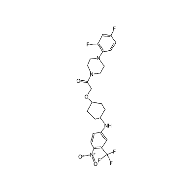 O=C(COC1CCC(Nc2ccc([N+](=O)[O-])c(C(F)(F)F)c2)CC1)N1CCN(c2ccc(F)cc2F)CC1